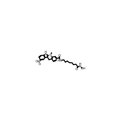 COc1cc(C(=O)NCCCCCCCC(=O)NO)ccc1Cc1c[nH]c2ccc([N+](=O)[O-])cc12